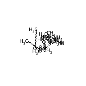 CCC=CCC=CCCCCCC(CCCCCCC)C(=O)COC(=O)N(C)CCN(C)C(=O)OCc1ccc(NC(=O)C(CCCNC(N)=O)NC(=O)C(NC(=O)CCC(N)C(=O)NCCN=[N+]=[N-])C(C)C)cc1